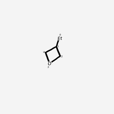 CCC1[CH]OC1